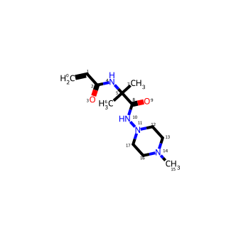 C=CC(=O)NC(C)(C)C(=O)NN1CCN(C)CC1